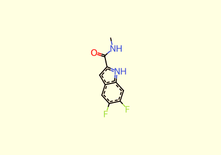 CNC(=O)c1cc2cc(F)c(F)cc2[nH]1